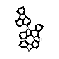 c1ccc2c(c1)-c1cccc3c(-n4c5ccccc5c5c4c4ccccc4c4nc6ccc7sc8ccccc8c7c6n45)ccc-2c13